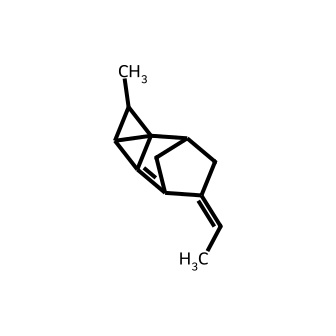 CC=C1CC2CC1=C1C3C(C)C123